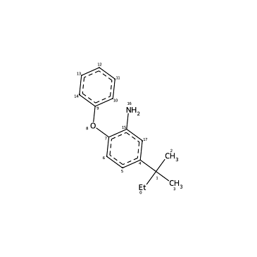 CCC(C)(C)c1ccc(Oc2ccccc2)c(N)c1